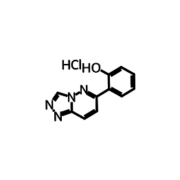 Cl.Oc1ccccc1-c1ccc2nncn2n1